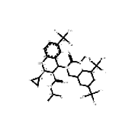 COC(=O)N(CC1CC(C(F)(F)F)CC(C(F)(F)F)C1)C1c2cc(C(F)(F)F)ccc2N[C@H](C2CC2)[C@@H]1C(=O)OC(C)C